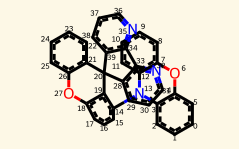 c1ccc2c(c1)Oc1ccccc1N2c1cccc2c1C1(c3ccccc3O2)c2cccnc2-c2ncccc21